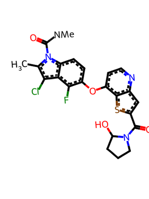 CNC(=O)n1c(C)c(Cl)c2c(F)c(Oc3ccnc4cc(C(=O)N5CCCC5O)sc34)ccc21